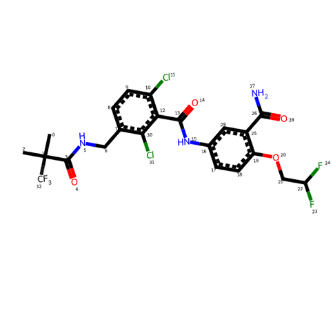 CC(C)(C(=O)NCc1ccc(Cl)c(C(=O)Nc2ccc(OCC(F)F)c(C(N)=O)c2)c1Cl)C(F)(F)F